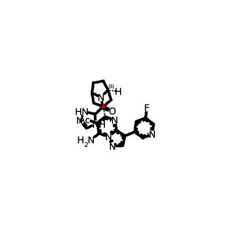 CC(=O)c1c([C@@H]2CC3CC[C@@H](C2)N3C(=O)C2NC=NN2)nc2c(-c3cncc(F)c3)cnn2c1N